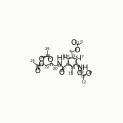 CC(=O)OCc1c(I)c(NOC(C)=O)c(I)c(C(=O)NCC(COC(C)=O)OC(C)=O)c1I